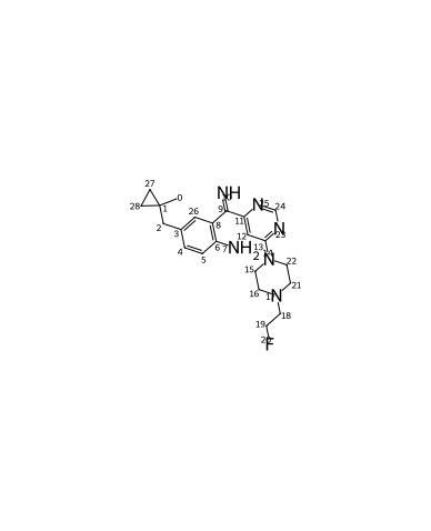 CC1(Cc2ccc(N)c(C(=N)c3cc(N4CCN(CCF)CC4)ncn3)c2)CC1